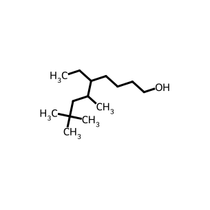 CCC(CCCCO)C(C)CC(C)(C)C